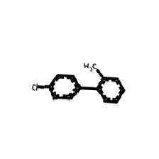 Cc1ccccc1-c1ccc(Cl)cc1